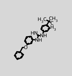 CC(C)(C)c1ccc(NC(=N)Nc2cccc(OCc3ccccc3)c2)cc1